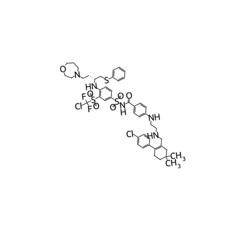 CC1(C)CCC(c2ccc(Cl)cc2)=C(CNCCNc2ccc(C(=O)NS(=O)(=O)c3ccc(N[C@H](CCN4CCCOCC4)CSc4ccccc4)c(S(=O)(=O)C(F)(F)Cl)c3)cc2)C1